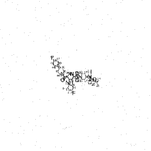 Cc1cc(F)ccc1Nc1cc(S(=O)(=O)N2CCC(NC(=O)OC(C)(C)C)CC2)ncc1C(=O)N1CCC(c2ccc(F)cc2)CC1